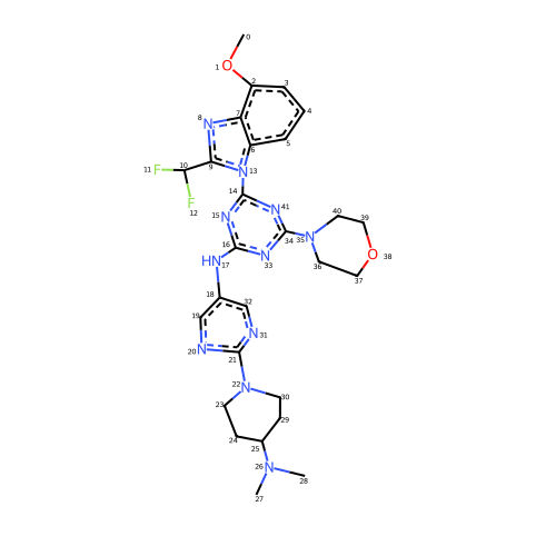 COc1cccc2c1nc(C(F)F)n2-c1nc(Nc2cnc(N3CCC(N(C)C)CC3)nc2)nc(N2CCOCC2)n1